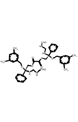 Cc1cc(C)cc(CO[C@](COC(=O)C(=O)OC[C@](NCNC=O)(OCc2cc(C)cc(C)c2)c2ccccc2)(NCNC=O)c2ccccc2)c1